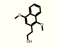 COc1cc(CCO)c(OC)c2ccccc12